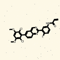 C=CC(=O)Nc1ccc(F)c(-c2ncc3cc(-c4c(Cl)c(OC)cc(OC)c4Cl)ccc3n2)c1